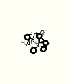 Cc1cccc(C)c1C(=O)[NH][Hf+2]([CH]1c2ccccc2-c2ccccc21)[SiH](c1ccccc1)c1ccccc1.[Cl-].[Cl-]